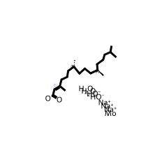 C/C(=C\C(=O)[O-])CCC[C@H](C)CCC[C@H](C)CCCC(C)C.O.O.[Mo].[Na+].[Na+].[Na+].[OH-].[OH-]